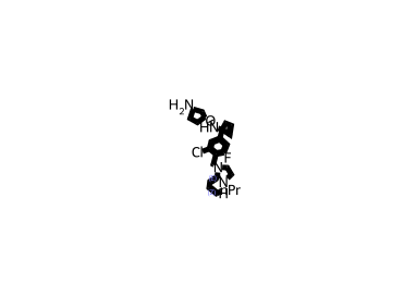 CCC/C=C\C=C1/NCCN1Cc1c(F)cc(C2(NOC3CCC(N)C3)C=CC2)cc1Cl